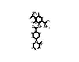 Cc1cc(C(N)=O)c(NC(=O)C2CCC(N3CCOCC3=O)CC2)c(C)c1C(N)=O